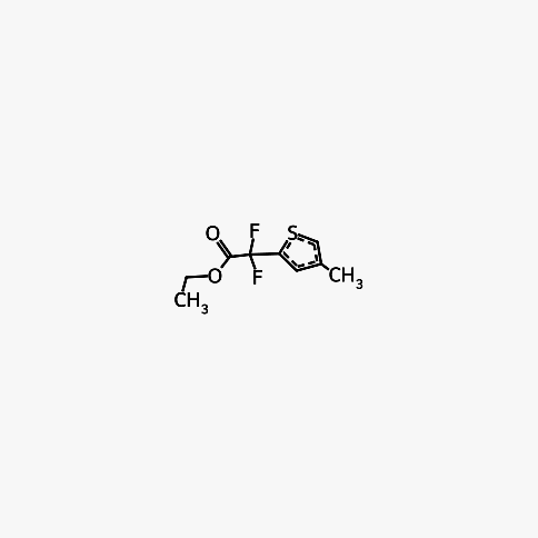 CCOC(=O)C(F)(F)c1cc(C)cs1